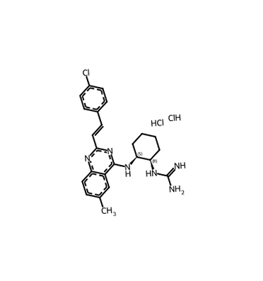 Cc1ccc2nc(C=Cc3ccc(Cl)cc3)nc(N[C@H]3CCCC[C@H]3NC(=N)N)c2c1.Cl.Cl